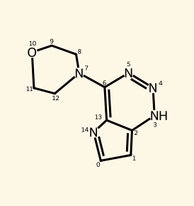 c1cc2[nH]nnc(N3CCOCC3)c-2n1